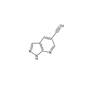 C#Cc1cnc2[nH]ncc2c1